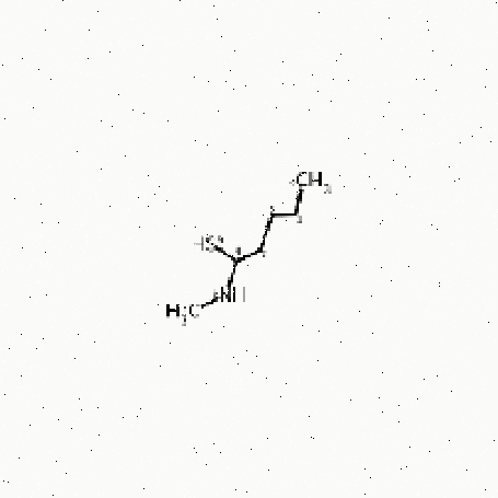 CCCCC(S)NC